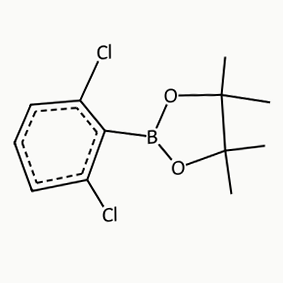 CC1(C)OB(c2c(Cl)cccc2Cl)OC1(C)C